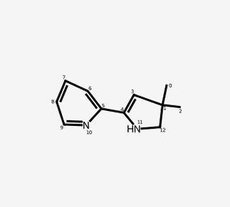 CC1(C)C=C(c2ccccn2)NC1